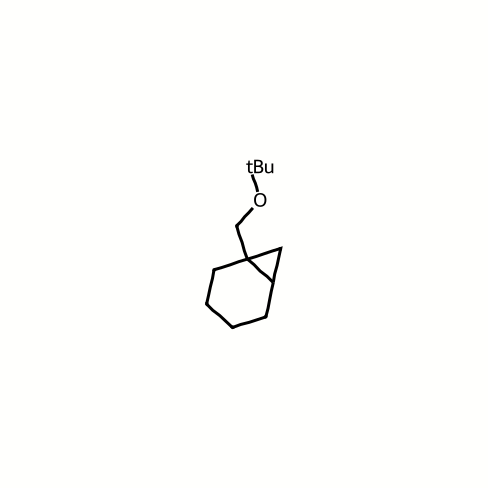 CC(C)(C)OCC12CCCCC1C2